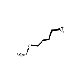 CCCCCOCCCCC(F)(F)F